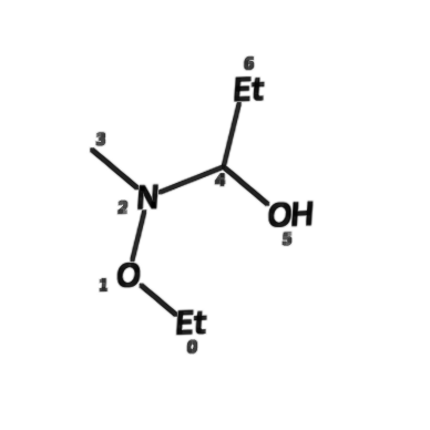 CCON(C)C(O)CC